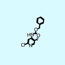 O=C(Nc1cc(Cl)ncc1F)OCc1ccccc1